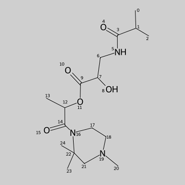 CC(C)C(=O)NCC(O)C(=O)OC(C)C(=O)N1CCN(C)CC1(C)C